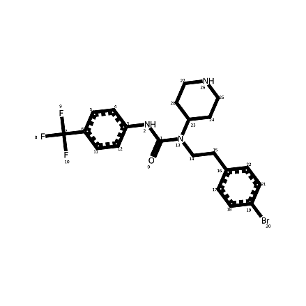 O=C(Nc1ccc(C(F)(F)F)cc1)N(CCc1ccc(Br)cc1)C1CCNCC1